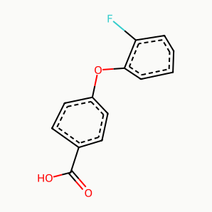 O=C(O)c1ccc(Oc2ccccc2F)cc1